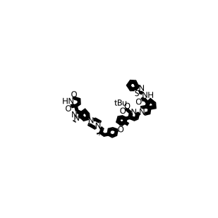 Cc1c(OC2CCC(C[C@@H](C)CN3CCN(c4ccc5c(C6CCC(=O)NC6=O)nn(C)c5c4)CC3)CC2)cccc1-c1ccc(N2CCc3cccc(C(=O)Nc4nc5ccccc5s4)c3C2)nc1C(=O)OC(C)(C)C